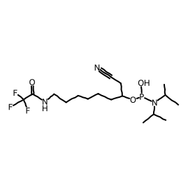 CC(C)N(C(C)C)P(O)OC(CC#N)CCCCCCNC(=O)C(F)(F)F